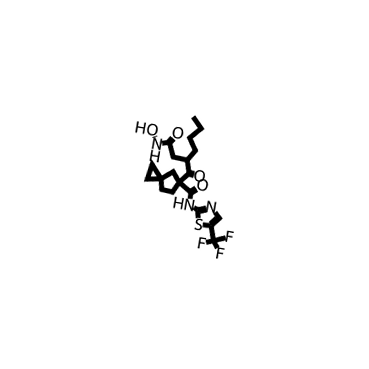 CCCCC(CC(=O)NO)C(=O)C1(C(=O)Nc2ncc(C(F)(F)F)s2)CCC2(CC2)C1